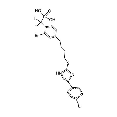 O=P(O)(O)C(F)(F)c1ccc(CCCCSc2nc(-c3ccc(Cl)cc3)n[nH]2)cc1Br